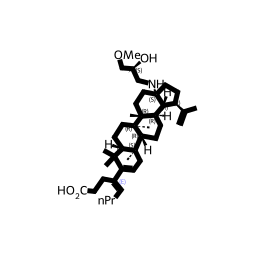 C=C(C)[C@@H]1CC[C@]2(NC[C@H](O)COC)CC[C@]3(C)[C@H](CC[C@@H]4[C@@]5(C)CC=C(/C(=C/CCC)CCC(=O)O)C(C)(C)[C@@H]5CC[C@]43C)[C@@H]12